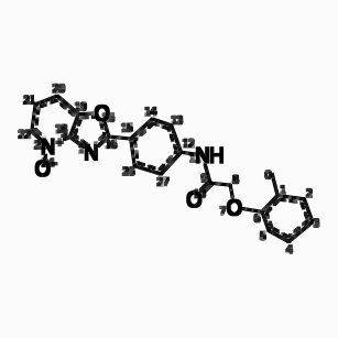 Cc1ccccc1OCC(=O)Nc1ccc(-c2nc3c(ccc[n+]3[O-])o2)cc1